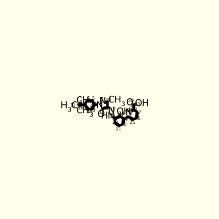 CC1=NN(c2ccc(C(C)(C)C)cc2)C(=O)C1=NNc1cccc(-c2cccc(C(=O)O)n2)c1O